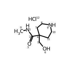 CNC(=O)C1(CO)CCNCC1.Cl